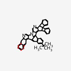 CC(C)(C)c1ccc2c(c1)cc1c3c4c(ncc3n3c5cnc6c(c5c2c13)C1c2ccccc2C12c1ccccc1C62)C1c2ccccc2C4c2ccccc21